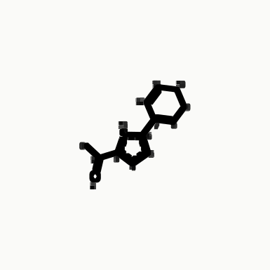 CC(=O)c1ccc(C2=CCCC=C2)s1